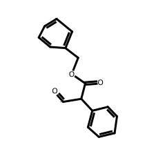 O=[C]C(C(=O)OCc1ccccc1)c1ccccc1